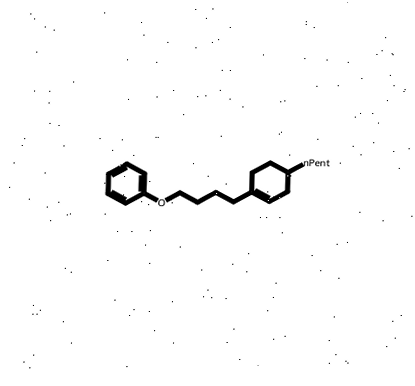 CCCCCC1CC=C(CCCCOc2ccccc2)CC1